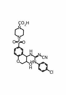 N#CN=C(Nc1ccc(Cl)cc1)NC1c2cc(S(=O)(=O)N3CCN(C(=O)O)CC3)ccc2OCC1O